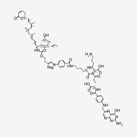 C/C=C/[C@@H]1O[C@H]([C@@H](/C=C/C=C(\C)C[C@@H](C)/C=C(C)\C=C\[C@H]2CC=CC(=O)O2)NC(=O)OCCc2cn(-c3ccc(C(=O)NCCCC[C@H](N)C(=O)N(C(=O)CC[C@H](NC(=O)c4ccc(NCc5cnc6nc(N)nc(O)c6n5)cc4)C(=O)O)[C@H](CCCCN)C(=O)O)cc3)nn2)C[C@@H](O)[C@@H]1C